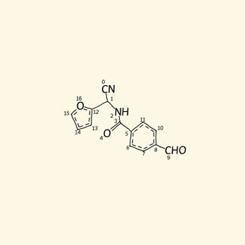 N#CC(NC(=O)c1ccc(C=O)cc1)c1ccco1